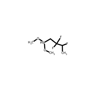 CO[SiH](CC(F)(F)C(C)F)OC